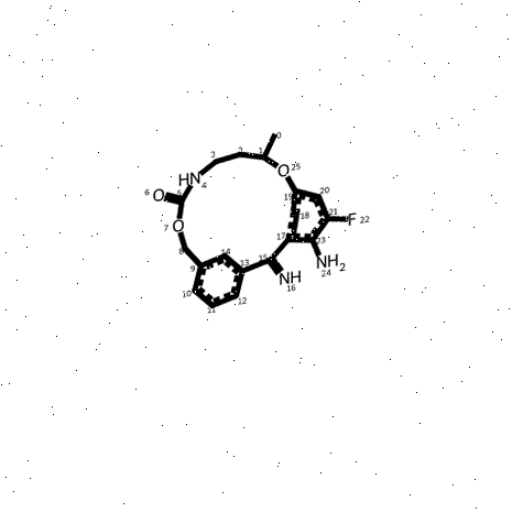 CC1CCNC(=O)OCc2cccc(c2)C(=N)c2cc(cc(F)c2N)O1